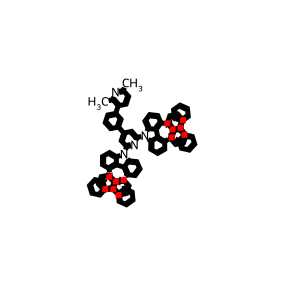 Cc1ccc(-c2cccc(-c3cc(-n4c5cccc(-n6c7ccccc7c7ccccc76)c5c5c(-n6c7ccccc7c7ccccc76)cccc54)nc(-n4c5cccc(-n6c7ccccc7c7ccccc76)c5c5c(-n6c7ccccc7c7ccccc76)cccc54)c3)c2)c(C)n1